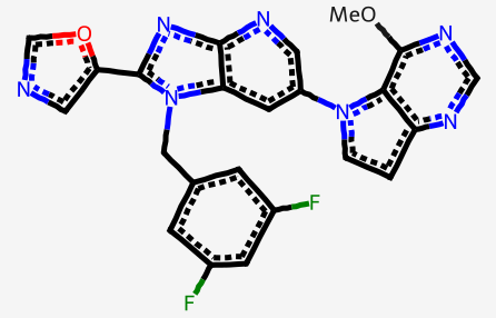 COc1ncnc2ccn(-c3cnc4nc(-c5cnco5)n(Cc5cc(F)cc(F)c5)c4c3)c12